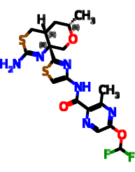 Cc1nc(OC(F)F)cnc1C(=O)Nc1csc([C@]23CO[C@@H](C)C[C@H]2CSC(N)=N3)n1